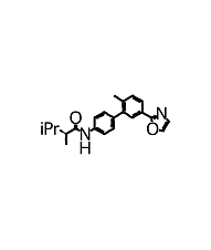 Cc1ccc(-c2ncco2)cc1-c1ccc(NC(=O)[C@@H](C)C(C)C)cc1